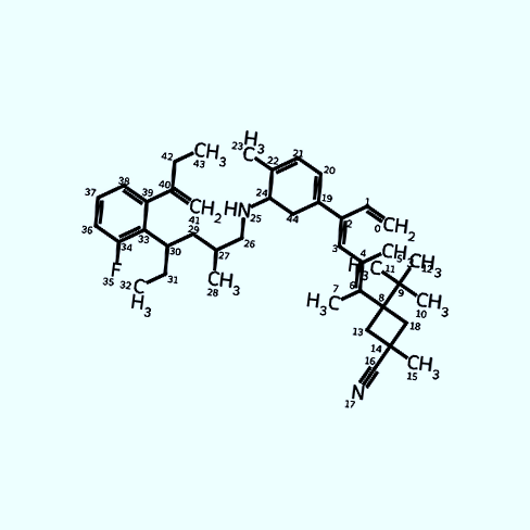 C=C/C(=C\C(C)=C(/C)C1(C(C)(C)C)CC(C)(C#N)C1)C1=CC=C(C)C(NCC(C)CC(CC)c2c(F)cccc2C(=C)CC)C1